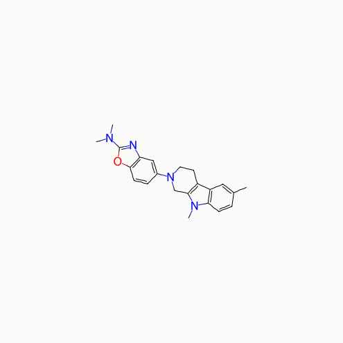 Cc1ccc2c(c1)c1c(n2C)CN(c2ccc3oc(N(C)C)nc3c2)CC1